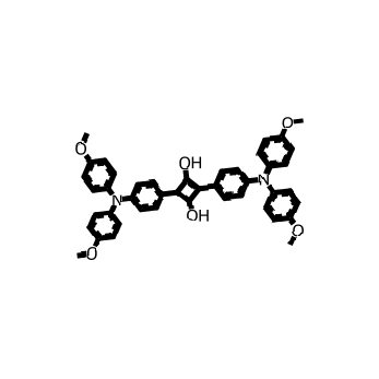 COc1ccc(N(c2ccc(OC)cc2)c2ccc(C3C(O)C(c4ccc(N(c5ccc(OC)cc5)c5ccc(OC)cc5)cc4)C3O)cc2)cc1